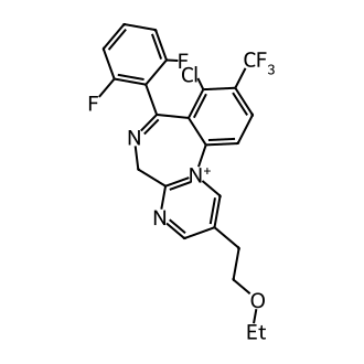 CCOCCc1cnc2[n+](c1)-c1ccc(C(F)(F)F)c(Cl)c1C(c1c(F)cccc1F)=NC2